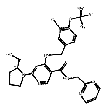 [2H]C([2H])([2H])Oc1ccc(CNc2nc(N3CCC[C@H]3CO)ncc2C(=O)NCc2ncccn2)cc1Cl